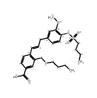 CCCCOCc1cc(C(=O)O)ccc1/C=C/Cc1ccc(OS(=O)(=O)CCCC)c(OC)c1